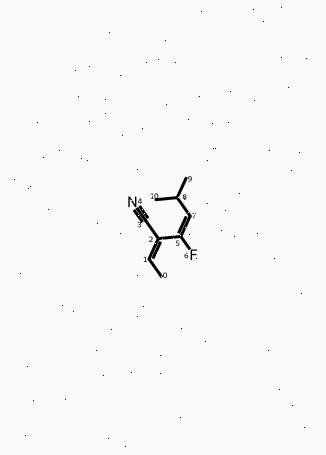 C/C=C(C#N)\C(F)=C/C(C)C